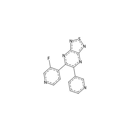 Fc1cnccc1-c1nc2nsnc2nc1-c1cccnc1